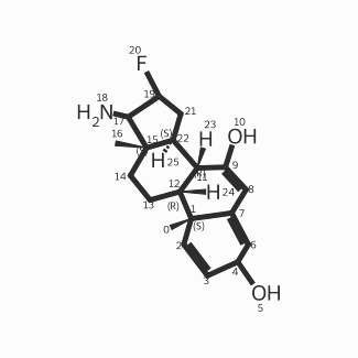 C[C@]12C=CC(O)C=C1C=C(O)[C@@H]1[C@H]2CC[C@]2(C)C(N)C(F)C[C@@H]12